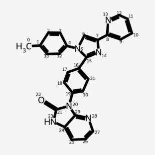 Cc1ccc(-n2cc(-c3ccccn3)nc2-c2ccc(-n3c(=O)[nH]c4cccnc43)cc2)cc1